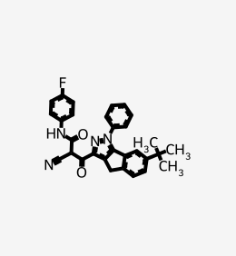 CC(C)(C)c1ccc2c(c1)-c1c(c(C(=O)C(C#N)C(=O)Nc3ccc(F)cc3)nn1-c1ccccc1)C2